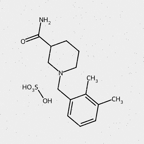 Cc1cccc(CN2CCCC(C(N)=O)C2)c1C.O=S(=O)(O)O